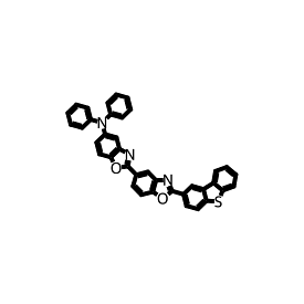 c1ccc(N(c2ccccc2)c2ccc3oc(-c4ccc5oc(-c6ccc7sc8ccccc8c7c6)nc5c4)nc3c2)cc1